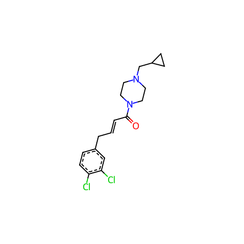 O=C(/C=C/Cc1ccc(Cl)c(Cl)c1)N1CCN(CC2CC2)CC1